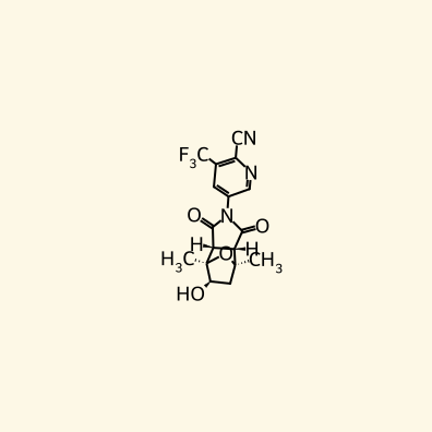 C[C@]12O[C@](C)(C[C@H]1O)[C@H]1C(=O)N(c3cnc(C#N)c(C(F)(F)F)c3)C(=O)[C@H]12